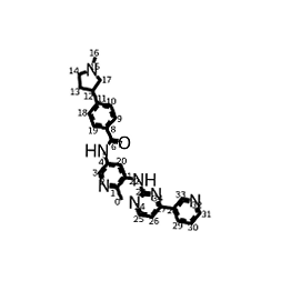 Cc1ncc(NC(=O)c2ccc(C3CCN(C)C3)cc2)cc1Nc1nccc(-c2cccnc2)n1